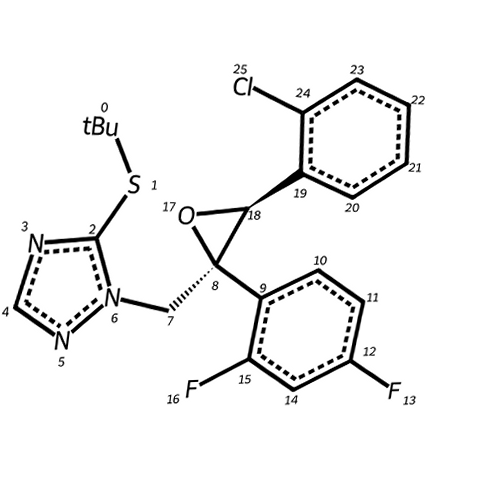 CC(C)(C)Sc1ncnn1C[C@]1(c2ccc(F)cc2F)O[C@H]1c1ccccc1Cl